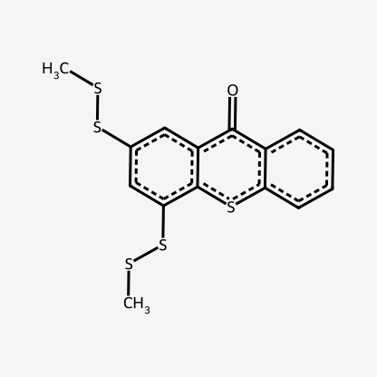 CSSc1cc(SSC)c2sc3ccccc3c(=O)c2c1